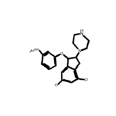 CC(=O)Nc1cccc(OC2c3cc(Cl)cc(Cl)c3CC2N2CCNCC2)c1